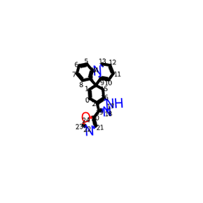 C1=CC(c2ccccc2)(c2ccccn2)Cc2[nH]nc(-c3cnco3)c21